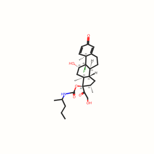 CCCC(C)NC(=O)O[C@]1(C(=O)CO)[C@@H](C)C[C@H]2[C@@H]3CCC4=CC(=O)C=C[C@]4(C)[C@@]3(F)[C@@H](O)C[C@@]21C